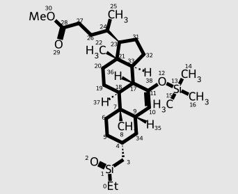 CC[Si](=O)C[C@@H]1CC[C@@]2(C)[C@H](C=C(O[Si](C)(C)C)[C@@H]3[C@@H]2CC[C@]2(C)[C@@H](C(C)CCC(=O)OC)CC[C@@H]32)C1